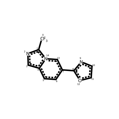 FC(F)(F)c1ncc2ccc(-c3ncco3)cn12